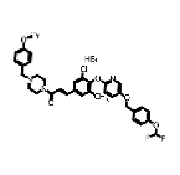 Br.Cc1cc(C=CC(=O)N2CCN(Cc3ccc(OC(C)C)cc3)CC2)cc(Cl)c1Oc1ccc(OCc2ccc(OC(F)F)cc2)cn1